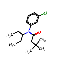 CCC(CC)N(C(=O)CC(C)(C)C)c1cccc(Cl)c1